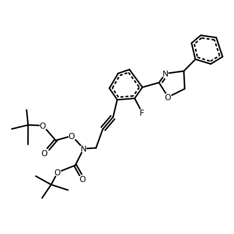 CC(C)(C)OC(=O)ON(CC#Cc1cccc(C2=NC(c3ccccc3)CO2)c1F)C(=O)OC(C)(C)C